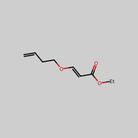 C=CCCOC=CC(=O)OCC